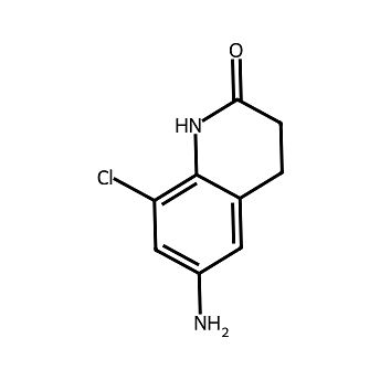 Nc1cc(Cl)c2c(c1)CCC(=O)N2